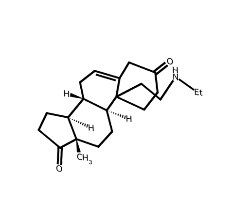 CCNCCC12CCC(=O)CC1=CC[C@@H]1[C@@H]2CC[C@]2(C)C(=O)CC[C@@H]12